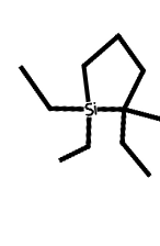 CCC1(C)CCC[Si]1(CC)CC